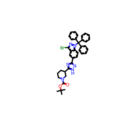 CC(C)(C)OC(=O)N1CCCC(c2nc(-c3ccc4c(c3)c(Br)nn4C(c3ccccc3)(c3ccccc3)c3ccccc3)n[nH]2)C1